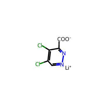 O=C([O-])c1nncc(Cl)c1Cl.[Li+]